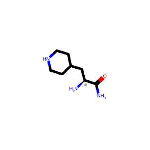 NC(=O)[C@@H](N)CC1CCNCC1